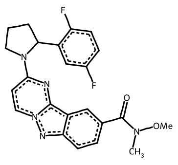 CON(C)C(=O)c1ccc2nn3ccc(N4CCCC4c4cc(F)ccc4F)nc3c2c1